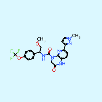 COCC(NC(=O)N1CC(=O)Nc2ccc(-c3ccn(C)n3)nc21)c1ccc(OC(F)(F)F)cc1